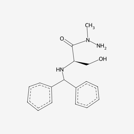 CN(N)C(=O)[C@@H](CO)NC(c1ccccc1)c1ccccc1